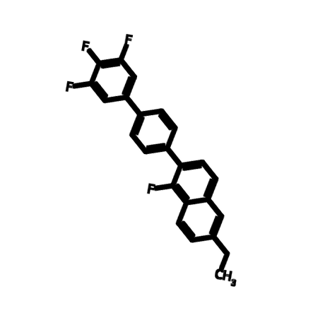 CCc1ccc2c(F)c(-c3ccc(-c4cc(F)c(F)c(F)c4)cc3)ccc2c1